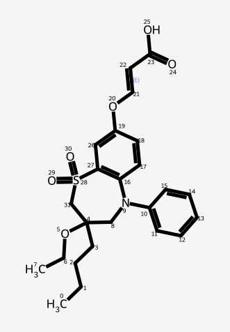 CCCCC1(OCC)CN(c2ccccc2)c2ccc(O/C=C/C(=O)O)cc2S(=O)(=O)C1